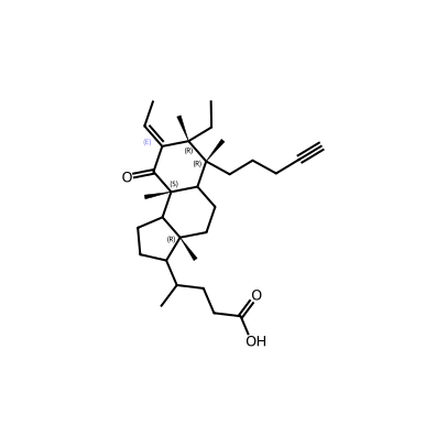 C#CCCC[C@]1(C)C2CC[C@]3(C)C(C(C)CCC(=O)O)CCC3[C@]2(C)C(=O)/C(=C/C)[C@]1(C)CC